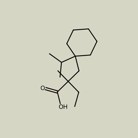 CCC(C)(CC1(C(C)C)CCCCC1)C(=O)O